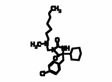 CCCCCCCN(C)CN1C(=O)NC(Cc2ccc(Cl)cc2)(C2CCCCC2)C1=O